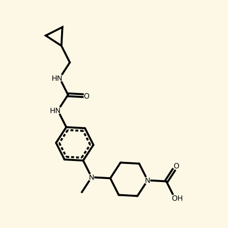 CN(c1ccc(NC(=O)NCC2CC2)cc1)C1CCN(C(=O)O)CC1